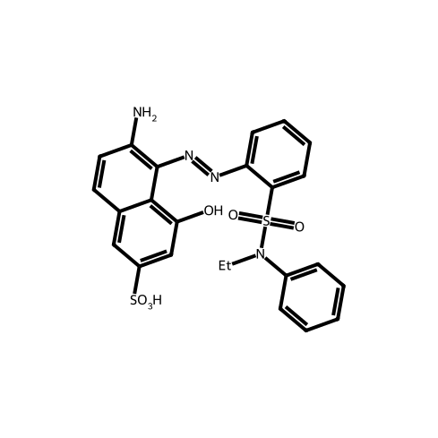 CCN(c1ccccc1)S(=O)(=O)c1ccccc1N=Nc1c(N)ccc2cc(S(=O)(=O)O)cc(O)c12